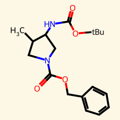 CC1CN(C(=O)OCc2ccccc2)CC1NC(=O)OC(C)(C)C